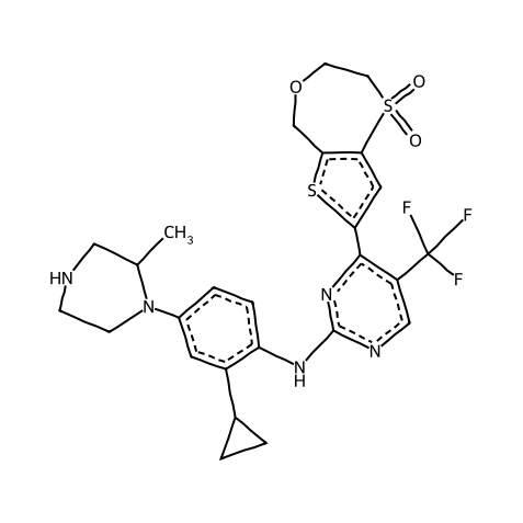 CC1CNCCN1c1ccc(Nc2ncc(C(F)(F)F)c(-c3cc4c(s3)COCCS4(=O)=O)n2)c(C2CC2)c1